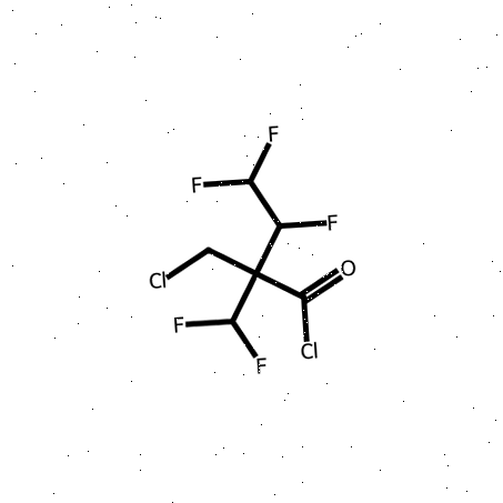 O=C(Cl)C(CCl)(C(F)F)C(F)C(F)F